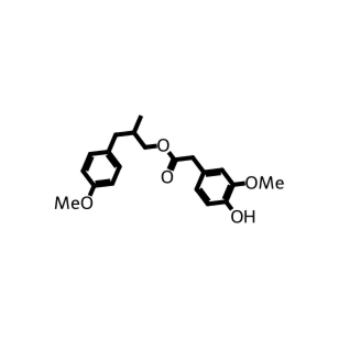 COc1ccc(CC(C)COC(=O)Cc2ccc(O)c(OC)c2)cc1